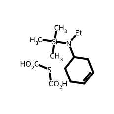 CCN(C1CC=CCC1)[Si](C)(C)C.O=C(O)SC(=O)O